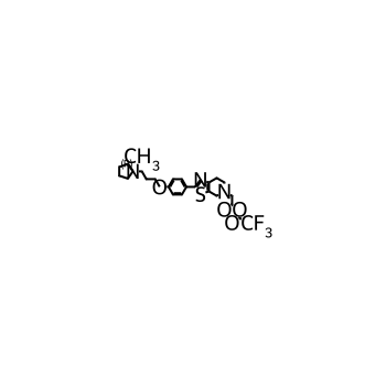 C[C@@H]1CCCN1CCCOc1ccc(-c2nc3c(s2)CN(CC(=O)OC(=O)C(F)(F)F)CC3)cc1